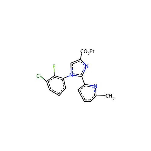 CCOC(=O)c1cn(-c2cccc(Cl)c2F)c(-c2cccc(C)n2)n1